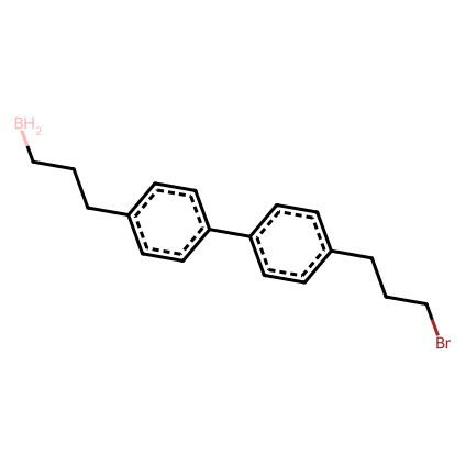 BCCCc1ccc(-c2ccc(CCCBr)cc2)cc1